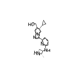 C[C@@H]1NC[C@H]1Nc1cccc(-c2cnc3cc(CO)c(C4CC4)cn23)n1